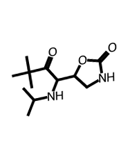 CC(C)NC(C(=O)C(C)(C)C)C1CNC(=O)O1